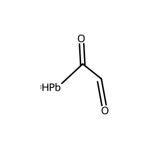 O=C[C](=O)[PbH]